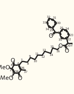 COC1=C(OC)C(=O)C(CCCCCCCCCCOC(=O)C(C)c2cccc(C(=O)c3ccccc3)c2)=C(C)C1=O